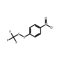 O=[N+]([O-])c1ccc(SSC(F)(F)F)cc1